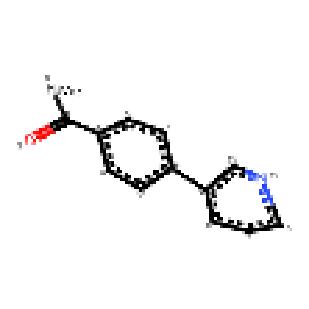 CNC(=O)c1ccc(-c2cccnc2)cc1